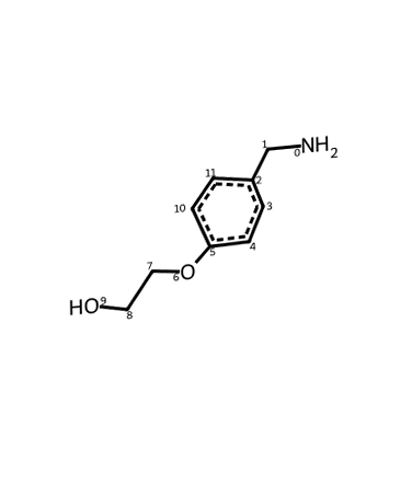 NCc1ccc(OCCO)cc1